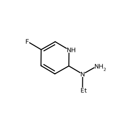 CCN(N)C1C=CC(F)=CN1